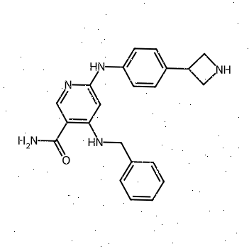 NC(=O)c1cnc(Nc2ccc(C3CNC3)cc2)cc1NCc1ccccc1